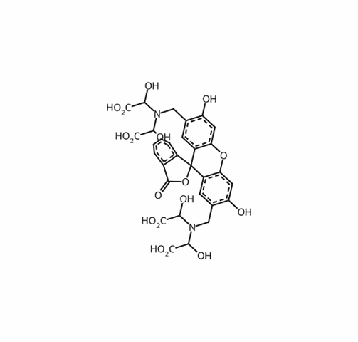 O=C1OC2(c3cc(CN(C(O)C(=O)O)C(O)C(=O)O)c(O)cc3Oc3cc(O)c(CN(C(O)C(=O)O)C(O)C(=O)O)cc32)c2ccccc21